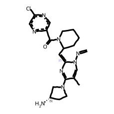 C=NN1C=C(C)C(N2CC[C@H](N)C2)=N/C1=C/C1CCCCN1C(=O)c1cnc(Cl)cn1